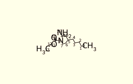 CCCCCC1CCN(C(=O)OCC)C(N)C1